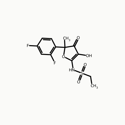 CCS(=O)(=O)NC1=C(O)C(=O)C(C)(c2ccc(F)cc2F)O1